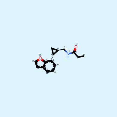 CCC(=O)NC[C@@H]1C[C@H]1c1cccc2ccoc12